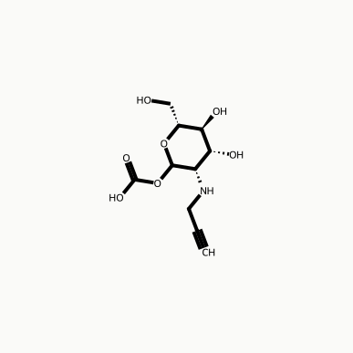 C#CCN[C@@H]1C(OC(=O)O)O[C@H](CO)[C@@H](O)[C@@H]1O